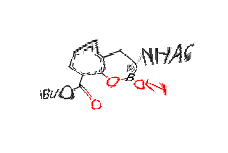 CC(=O)N[C@H]1Cc2cccc(C(=O)OCC(C)C)c2OB1O